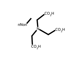 CCCCCCCCCC.O=C(O)CN(CC(=O)O)CC(=O)O